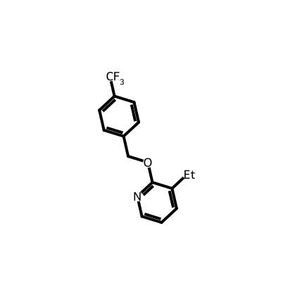 CCc1cccnc1OCc1ccc(C(F)(F)F)cc1